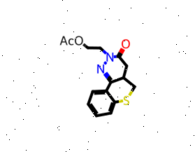 CC(=O)OCCN1N=C2c3ccccc3SCC2CC1=O